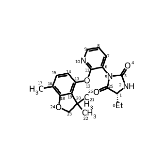 CC[C@H]1NC(=O)N(c2cccnc2Oc2ccc(C)c3c2C(C)(C)CO3)C1=O